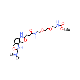 CCN(CC)CC(=O)Nc1c(C)ccc(NC(=O)CCC(=O)NCCOCCOCCNC(=O)OC(C)(C)C)c1C